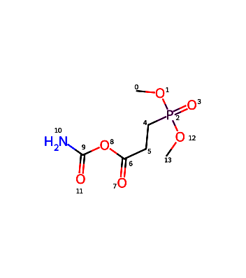 COP(=O)(CCC(=O)OC(N)=O)OC